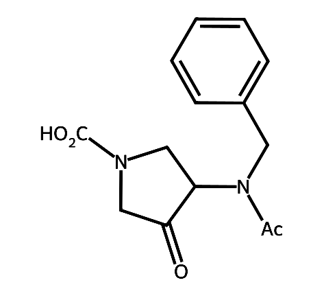 CC(=O)N(Cc1ccccc1)C1CN(C(=O)O)CC1=O